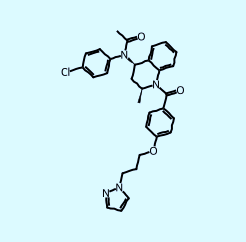 CC(=O)N(c1ccc(Cl)cc1)[C@@H]1C[C@H](C)N(C(=O)c2ccc(OCCCn3cccn3)cc2)c2ccccc21